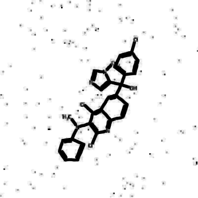 CN(c1ccccc1)c1c(Cl)nc2ccc(C(O)(c3ccc(Cl)cc3)c3cncn3C)cc2c1Cl